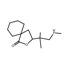 CPCC(C)(C)C1CC2(CCCCC2)C(=O)O1